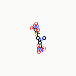 Cc1cc(C=C2C(=O)N(C)C(=O)N(C)C2=O)sc1-c1ccc2c3ccc(C=C4C(=O)N(C)C(=O)N(C)C4=O)cc3n(-c3ccccc3)c2c1